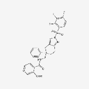 COc1ccccc1C(=O)NCC1(c2ccccc2)CCc2nn(S(=O)(=O)c3ccc(F)c(F)c3F)cc2C1